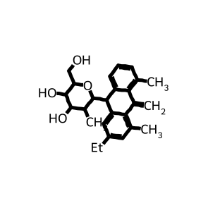 C=C1c2c(C)cccc2C(C2OC(CO)C(O)C(O)C2C)c2cc(CC)cc(C)c21